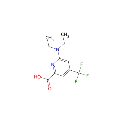 CCN(CC)c1cc(C(F)(F)F)cc(C(=O)O)n1